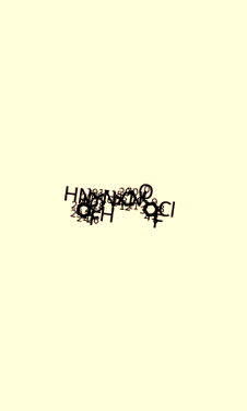 O=C(c1ccc(F)c(Cl)c1)N1CCC(F)(CNCC2CNc3cccc(F)c3O2)CC1